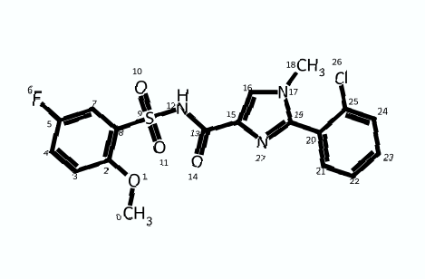 COc1ccc(F)cc1S(=O)(=O)NC(=O)c1cn(C)c(-c2ccccc2Cl)n1